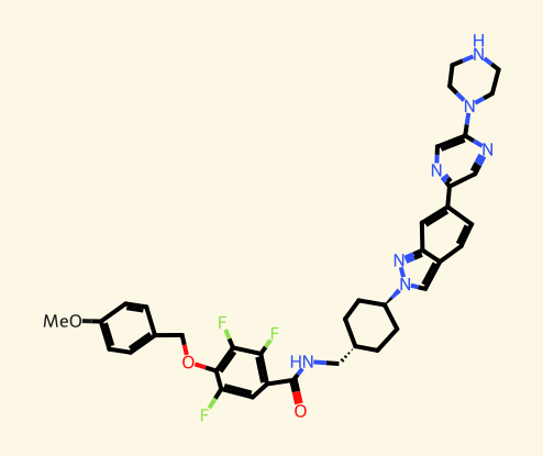 COc1ccc(COc2c(F)cc(C(=O)NC[C@H]3CC[C@H](n4cc5ccc(-c6cnc(N7CCNCC7)cn6)cc5n4)CC3)c(F)c2F)cc1